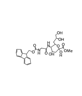 COC(=O)C1(O)CC(O)C(NC(=O)CNC(=O)OCC2c3ccccc3-c3ccccc32)C(C[C@H](O)CO)O1